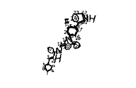 O=C(C=Cc1ccccc1)NC[C@H]1CN(c2ccc(C3CNCCO3)c(F)c2)C(=O)O1